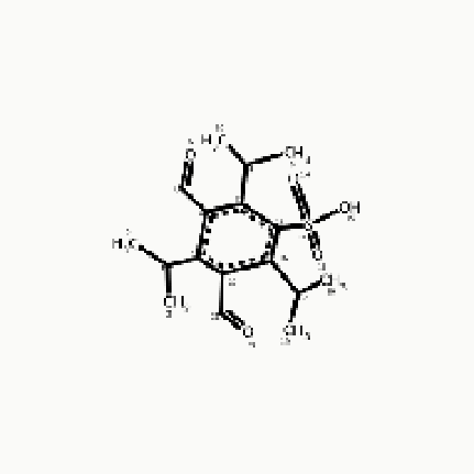 CC(C)c1c(C=O)c(C(C)C)c(S(=O)(=O)O)c(C(C)C)c1C=O